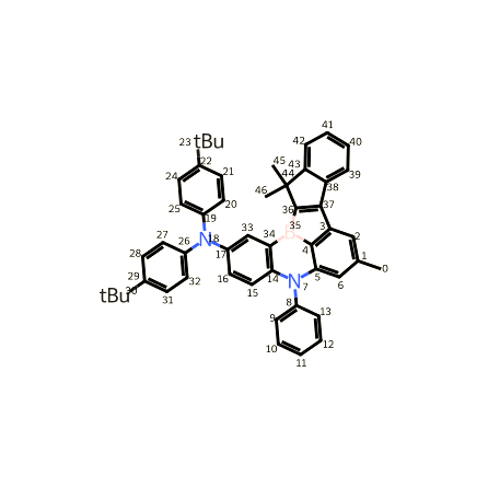 Cc1cc2c3c(c1)N(c1ccccc1)c1ccc(N(c4ccc(C(C)(C)C)cc4)c4ccc(C(C)(C)C)cc4)cc1B3C1=C2c2ccccc2C1(C)C